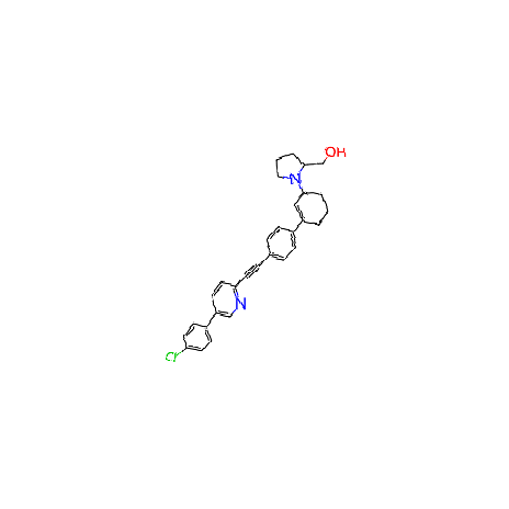 OCC1CCCN1C1C=C(c2ccc(C#Cc3ccc(-c4ccc(Cl)cc4)cn3)cc2)CCC1